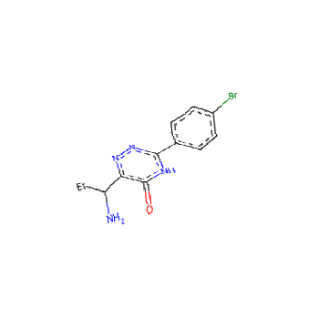 CCC(N)c1nnc(-c2ccc(Br)cc2)[nH]c1=O